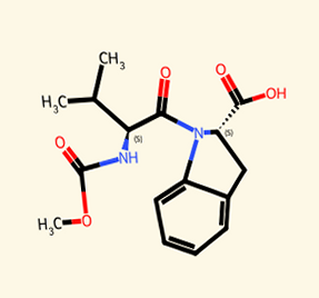 COC(=O)N[C@H](C(=O)N1c2ccccc2C[C@H]1C(=O)O)C(C)C